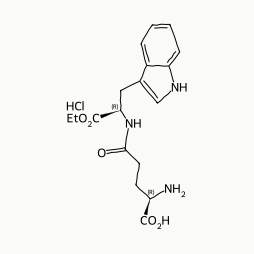 CCOC(=O)[C@@H](Cc1c[nH]c2ccccc12)NC(=O)CC[C@@H](N)C(=O)O.Cl